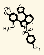 COc1ccc(-c2cn(S(=O)(=O)c3ccc(C)cc3)c3nccc(-c4ccsc4)c23)c(OC)c1